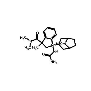 CN(C)C(=O)C1(C)C[N+](NC(N)=O)(C2CC3CCC(C2)N3C)c2ccccc21